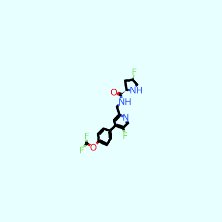 O=C(NCc1cc(-c2ccc(OC(F)F)cc2)c(F)cn1)[C@@H]1C[C@@H](F)CN1